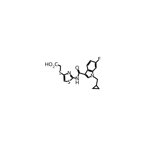 O=C(O)CSc1csc(NC(=O)c2cn(CC3CC3)c3cc(F)ccc23)n1